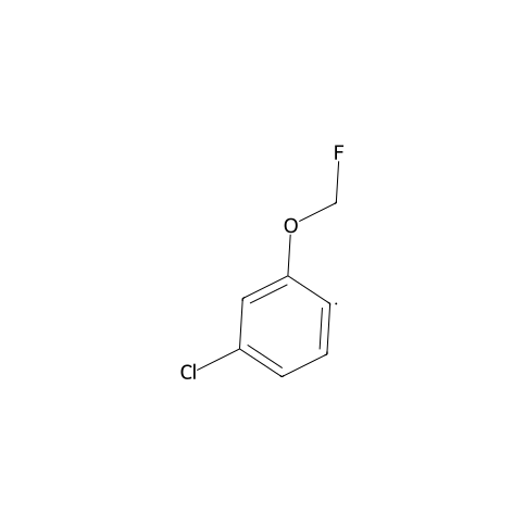 FCOc1[c]ccc(Cl)c1